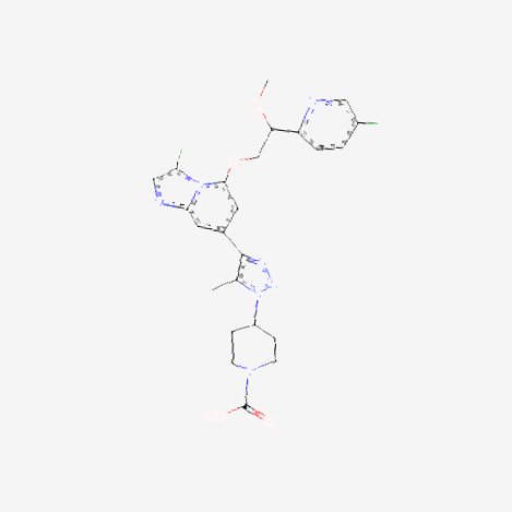 COC(COc1cc(-c2nnn(C3CCN(C(=O)O)CC3)c2C)cc2ncc(Cl)n12)c1ccc(F)cn1